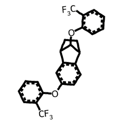 FC(F)(F)c1ccccc1Oc1ccc2c(c1)C1CCC2C1Oc1ccccc1C(F)(F)F